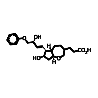 O=C(O)CCC1CC[C@@H]2[C@@H](/C=C/[C@@H](O)COc3ccccc3)[C@H](O)C[C@@H]2OC1